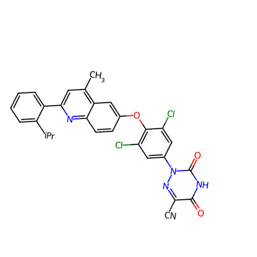 Cc1cc(-c2ccccc2C(C)C)nc2ccc(Oc3c(Cl)cc(-n4nc(C#N)c(=O)[nH]c4=O)cc3Cl)cc12